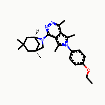 CCOc1ccc(-n2c(C)c3c(C)nnc(N4C[C@]5(C)C[C@H]4CC(C)(C)C5)c3c2C)cc1